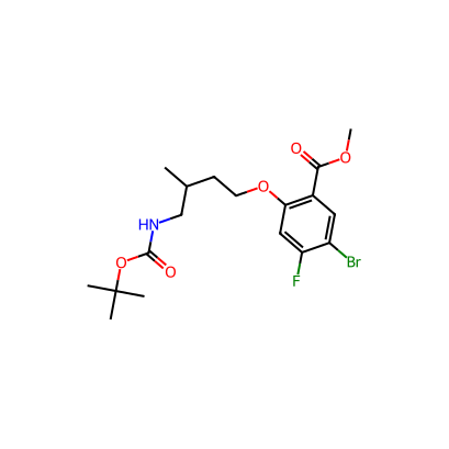 COC(=O)c1cc(Br)c(F)cc1OCCC(C)CNC(=O)OC(C)(C)C